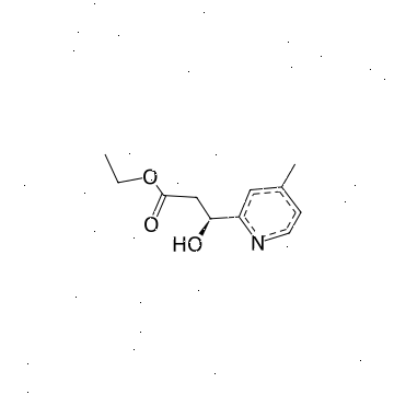 CCOC(=O)C[C@H](O)c1cc(C)ccn1